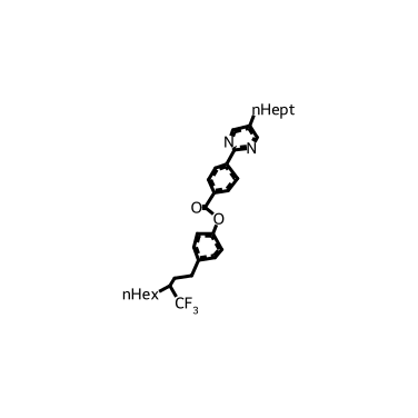 CCCCCCCc1cnc(-c2ccc(C(=O)Oc3ccc(CCC(CCCCCC)C(F)(F)F)cc3)cc2)nc1